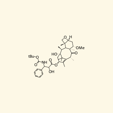 CO[C@H]1C[C@H]2OC[C@@]2(C)C2[C@H](C)[C@]3(O)C[C@H](OC(=O)C(O)C(NC(=O)OC(C)(C)C)c4ccccc4)C(C)=C([C@@H](C)C(=O)[C@@]21C)C3(C)C